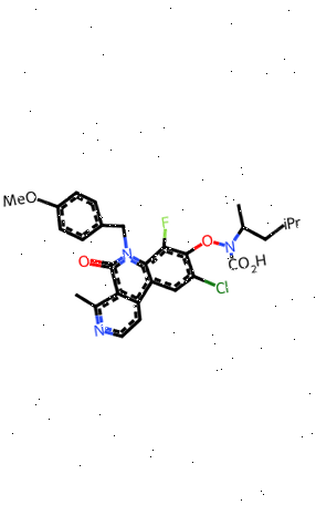 COc1ccc(Cn2c(=O)c3c(C)nccc3c3cc(Cl)c(ON(C(=O)O)C(C)CC(C)C)c(F)c32)cc1